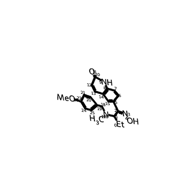 CCC(C(=NO)c1ccc2[nH]c(=O)ccc2c1)N(C)Cc1ccc(OC)cc1